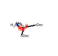 CCCCCCCCCCCCCCCCCC(=O)OC[C@H](COP(=O)([O-])OCC[N+](C)(C)C)OC(=O)CCCCCCCCCCCCCC